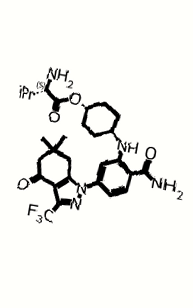 CC(C)[C@H](N)C(=O)O[C@H]1CC[C@H](Nc2cc(-n3nc(C(F)(F)F)c4c3CC(C)(C)CC4=O)ccc2C(N)=O)CC1